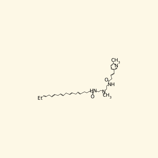 CC/C=C/C/C=C/C/C=C/C/C=C/C/C=C/CCCC(=O)NCCN(C)CCNC(=O)C/C=C/c1ccc(C)nc1